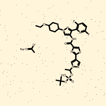 CC(=O)[O-].CCOC1CCC(n2cc(NC(=O)c3csc(-c4cnn(C(C)OP(=O)(O)OC(C)(C)C)c4)n3)c(-c3nc(F)ccc3F)n2)CC1.[Na+]